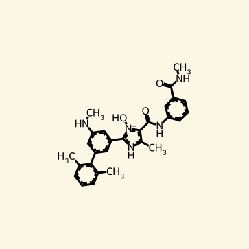 CNC(=O)c1cccc(NC(=O)c2c(C)[nH]c(-c3cc(NC)cc(-c4c(C)cccc4C)c3)[n+]2O)c1